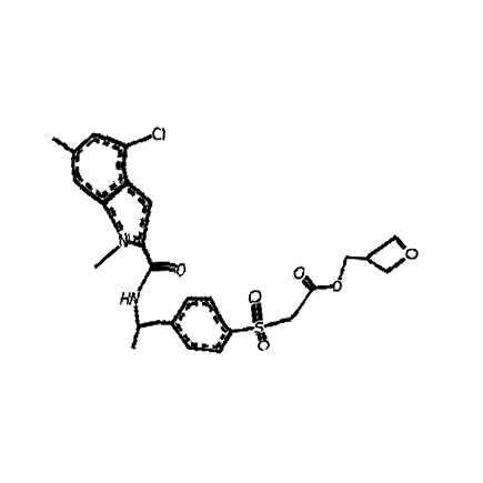 Cc1cc(Cl)c2cc(C(=O)NC(C)c3ccc(S(=O)(=O)CC(=O)OCC4COC4)cc3)n(C)c2c1